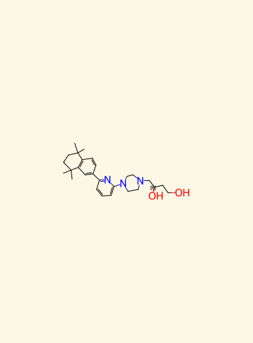 CC1(C)CCC(C)(C)c2cc(-c3cccc(N4CCN(C[C@H](O)CCO)CC4)n3)ccc21